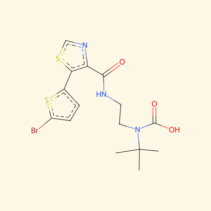 CC(C)(C)N(CCNC(=O)c1ncsc1-c1ccc(Br)s1)C(=O)O